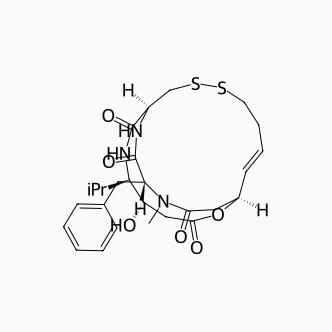 CC(C)[C@H]1NC(=O)[C@H]2CSSCC/C=C/[C@H](CC(=O)N(C)[C@H](Cc3ccccc3)C(=O)N2)OC(=O)C[C@@H]1O